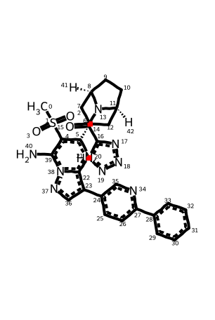 CS(=O)(=O)c1c([C@@H]2C[C@H]3CC[C@@H](C2)N3C(=O)c2nnn[nH]2)nc2c(-c3ccc(-c4ccccc4)nc3)cnn2c1N